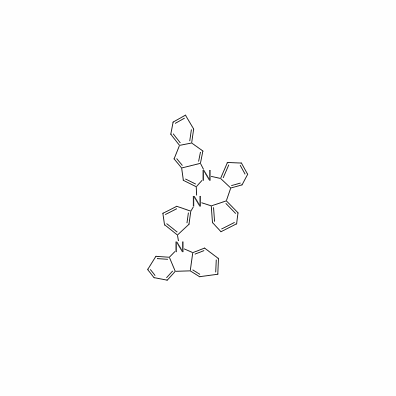 c1cc(N2c3ccccc3-c3ccccc3-n3c2cc2cc4ccccc4cc23)cc(-n2c3ccccc3c3ccccc32)c1